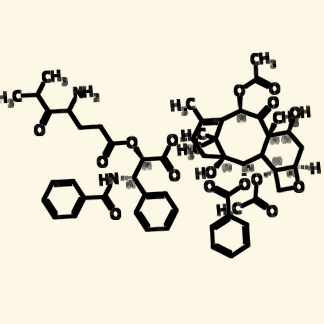 CC(=O)O[C@H]1C(=O)[C@@]2(C)C([C@H](OC(=O)c3ccccc3)[C@]3(O)C[C@H](OC(=O)[C@H](OC(=O)CCC(N)C(=O)C(C)C)[C@@H](NC(=O)c4ccccc4)c4ccccc4)C(C)=C1C3(C)C)[C@]1(OC(C)=O)CO[C@@H]1C[C@@H]2O